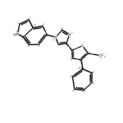 FC(F)(F)c1sc(-c2cn(-c3ccc4[nH]ccc4c3)cn2)cc1-c1ccccc1